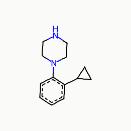 c1ccc(N2CCNCC2)c(C2CC2)c1